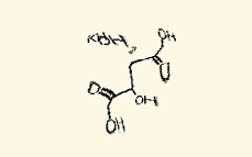 O.O=C(O)CC(O)C(=O)O.[KH]